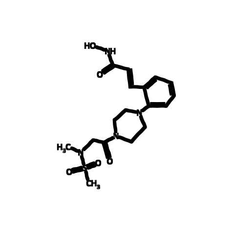 CN(CC(=O)N1CCN(c2ccccc2C=CC(=O)NO)CC1)S(C)(=O)=O